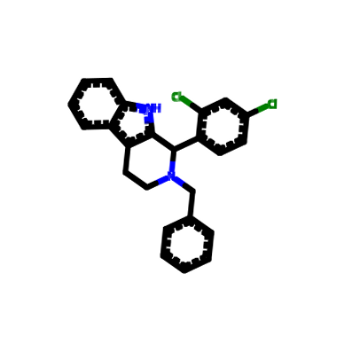 Clc1ccc(C2c3[nH]c4ccccc4c3CCN2Cc2ccccc2)c(Cl)c1